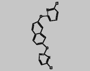 Clc1cccc(Oc2ccc3ccc(Oc4cccc(Cl)n4)cc3c2)n1